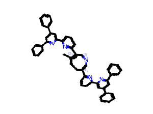 C/C1=C(c2cccc(-c3cc(-c4ccccc4)cc(-c4ccccc4)n3)n2)/C=N\C=C(\c2cccc(-c3cc(-c4ccccc4)cc(-c4ccccc4)n3)n2)CC1